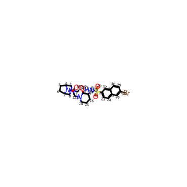 CCOC(=O)CN1CC2CCC(C1)N2C(=O)CN1CCC[C@H](NS(=O)(=O)c2ccc3cc(Br)ccc3c2)C1=O